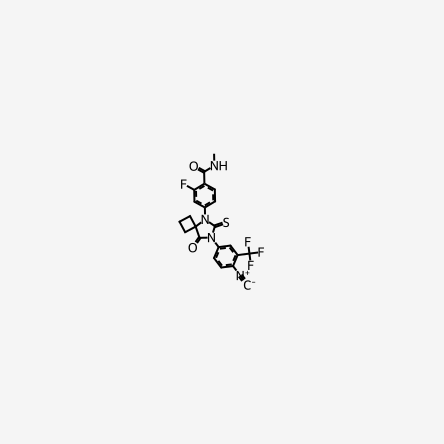 [C-]#[N+]c1ccc(N2C(=O)C3(CCC3)N(c3ccc(C(=O)NC)c(F)c3)C2=S)cc1C(F)(F)F